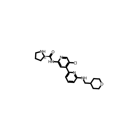 O=C(Nc1cc(-c2cccc(NCC3CCOCC3)n2)c(Cl)cn1)[C@H]1CCCN1